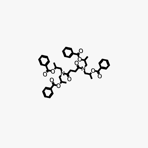 CC(CN(CC(C)OC(=O)c1ccccc1)C(=O)CCC(=O)N(CC(C)OC(=O)c1ccccc1)CC(C)OC(=O)c1ccccc1)OC(=O)c1ccccc1